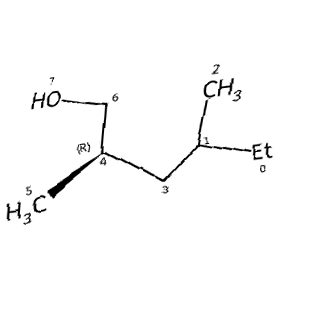 CCC(C)C[C@@H](C)CO